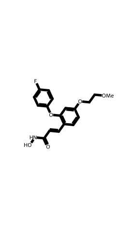 COCCOc1ccc(/C=C/C(=O)NO)c(Oc2ccc(F)cc2)c1